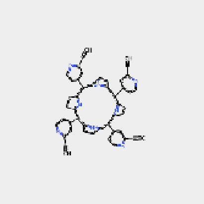 C#Cc1cc(-c2c3nc(c(-c4ccnc(C#C)c4)c4ccc([nH]4)c(-c4ccnc(C#C)c4)c4nc(c(-c5ccnc(C#C)c5)c5ccc2[nH]5)C=C4)C=C3)ccn1